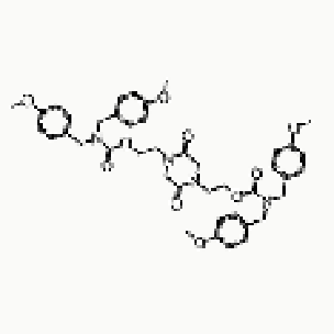 COc1ccc(CN(Cc2ccc(OC)cc2)C(=O)OCCN2CC(=O)N(CCOC(=O)N(Cc3ccc(OC)cc3)Cc3ccc(OC)cc3)CC2=O)cc1